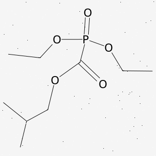 CCOP(=O)(OCC)C(=O)OCC(C)C